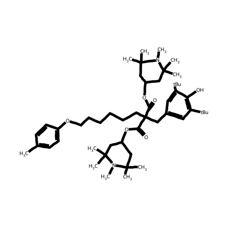 Cc1ccc(OCCCCCCC(Cc2cc(C(C)(C)C)c(O)c(C(C)(C)C)c2)(C(=O)OC2CC(C)(C)N(C)C(C)(C)C2)C(=O)OC2CC(C)(C)N(C)C(C)(C)C2)cc1